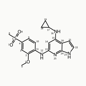 COc1cc(S(C)(=O)=O)ccc1Nc1cc(NC2CC2)c2cc[nH]c2n1